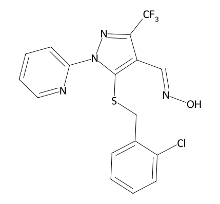 ON=Cc1c(C(F)(F)F)nn(-c2ccccn2)c1SCc1ccccc1Cl